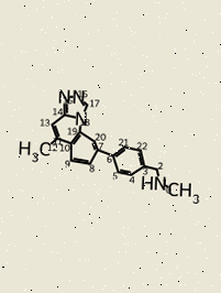 CNCc1ccc(-c2ccc3c(C)cc4nncn4c3c2)cc1